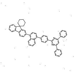 c1ccc(-c2cc(-c3ccccc3)nc(-c3ccc(-c4ccc(-c5ccc6c(c5)C5(CCCCC5)c5ccccc5-6)c5ccccc45)cc3)n2)cc1